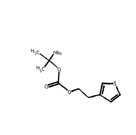 CCCCC(C)(C)OC(=O)OCCc1ccsc1